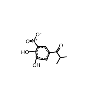 CC(C)C(=O)c1cc(O)c(O)c([N+](=O)[O-])c1